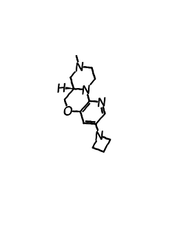 CN1CCN2c3ncc(N4CCC4)cc3OC[C@@H]2C1